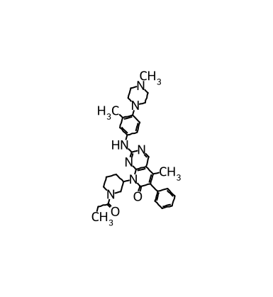 CCC(=O)N1CCCC(n2c(=O)c(-c3ccccc3)c(C)c3cnc(Nc4ccc(N5CCN(C)CC5)c(C)c4)nc32)C1